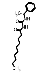 CCCCCCCCCC(=O)NC(=O)N[C@H](C)c1ccccc1